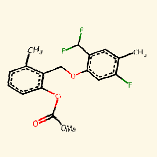 COC(=O)Oc1cccc(C)c1COc1cc(F)c(C)cc1C(F)F